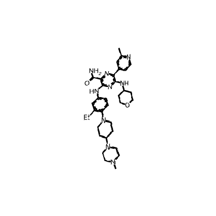 CCc1cc(Nc2nc(NC3CCOCC3)c(-c3ccnc(C)c3)nc2C(N)=O)ccc1N1CCC(N2CCN(C)CC2)CC1